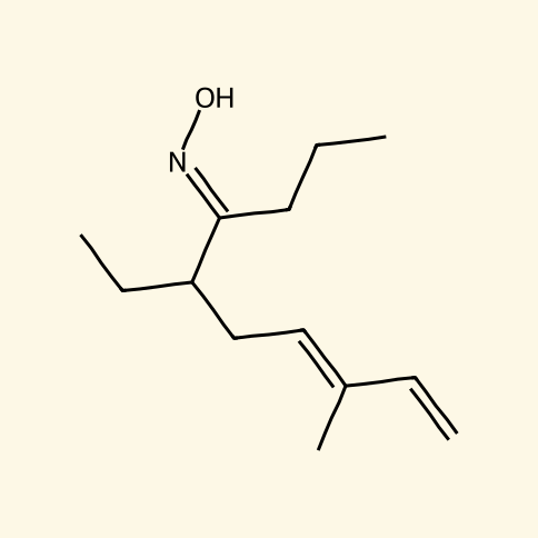 C=C/C(C)=C/CC(CC)/C(CCC)=N/O